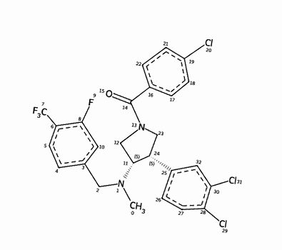 CN(Cc1ccc(C(F)(F)F)c(F)c1)[C@@H]1CN(C(=O)c2ccc(Cl)cc2)C[C@@H]1c1ccc(Cl)c(Cl)c1